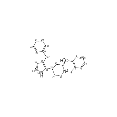 Cc1cnccc1CN1CCC(c2[nH]ncc2Cc2ccccc2)CC1